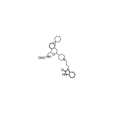 O=CNCC1OC(C2CCN(CCCn3c(=O)[nH]c4ccccc43)CC2)Cc2c1ccc1c2C12CCCCC2